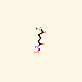 CC(=O)CCCC(=O)NCO